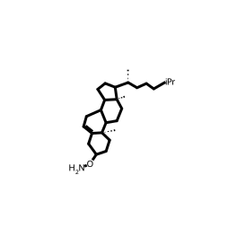 CC(C)CCC[C@@H](C)C1CCC2C3CC=C4CC(ON)CC[C@]4(C)C3CC[C@@]21C